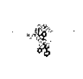 COc1ccc(C(=O)OC(=O)c2occ(-c3ccccc3)c2-c2ccccc2)c(C(=O)NN)c1NC(=O)OC(C)(C)C